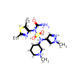 CCc1nc(N(C(N)=O)S(=O)(=O)N(c2cnn(C)c2)C2CCCN(C)C2)c(CC)s1